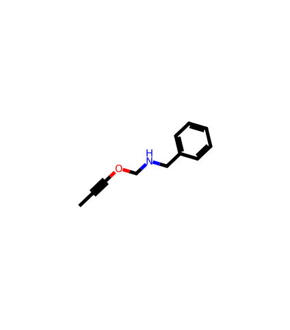 CC#COCNCc1ccccc1